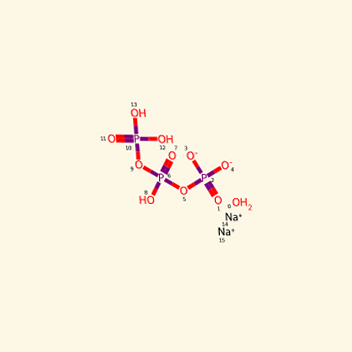 O.O=P([O-])([O-])OP(=O)(O)OP(=O)(O)O.[Na+].[Na+]